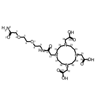 NC(=O)COCCOCCNC(=O)CN1CCN(CC(=O)O)CCN(CC(=O)O)CCN(CC(=O)O)CC1